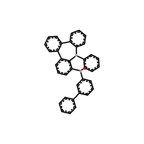 CN(c1cccc(-c2ccccc2)c1)c1cccc2c1N(c1ccccc1)c1ccccc1-c1ccccc1-2